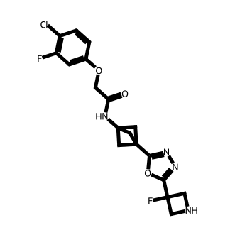 O=C(COc1ccc(Cl)c(F)c1)NC12CC(c3nnc(C4(F)CNC4)o3)(C1)C2